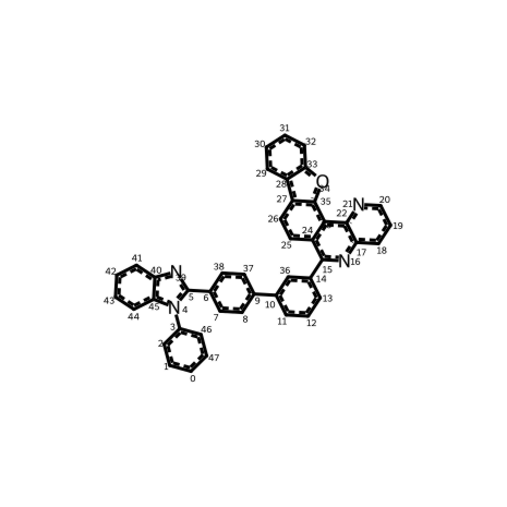 c1ccc(-n2c(-c3ccc(-c4cccc(-c5nc6cccnc6c6c5ccc5c7ccccc7oc56)c4)cc3)nc3ccccc32)cc1